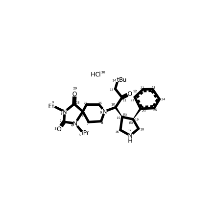 CCN1C(=O)N(C(C)C)C2(CCN(C(C(=O)CC(C)(C)C)[C@@H]3CNC[C@@H]3c3ccccc3)CC2)C1=O.Cl